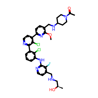 COc1nc(-c2ccnc(-c3cccc(Nc4nccc(CNC[C@@H](C)O)c4F)c3Cl)c2Cl)ccc1CNC1CCN(C(C)=O)CC1